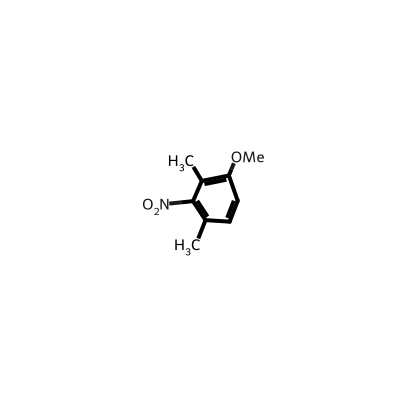 COc1ccc(C)c([N+](=O)[O-])c1C